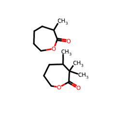 CC1CCCCOC1=O.CC1CCCOC(=O)C1(C)C